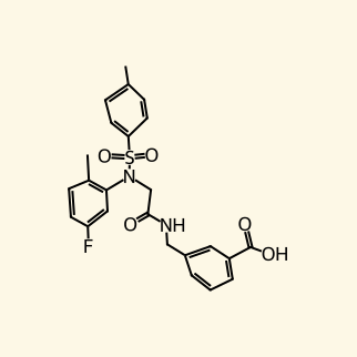 Cc1ccc(S(=O)(=O)N(CC(=O)NCc2cccc(C(=O)O)c2)c2cc(F)ccc2C)cc1